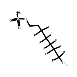 NS(=O)(=O)OCCC(F)(F)C(F)(F)C(F)(F)C(F)(F)C(F)(F)C(F)(F)F